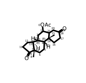 CC(=O)OC1C[C@@H]2[C@@H](CC[C@]3(C)C(=O)CC[C@@H]23)[C@@]2(C)CCC(=O)CC12